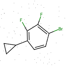 Fc1c(Br)ccc(C2CC2)c1F